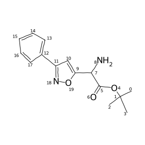 CC(C)(C)OC(=O)C(N)c1cc(-c2ccccc2)no1